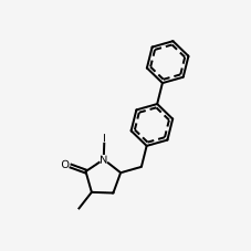 CC1CC(Cc2ccc(-c3ccccc3)cc2)N(I)C1=O